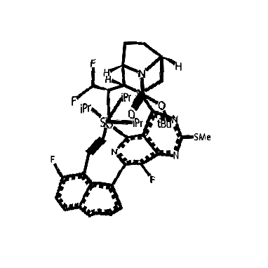 CSc1nc2c3c(nc(-c4cccc5ccc(F)c(C#C[Si](C(C)C)(C(C)C)C(C)C)c45)c(F)c3n1)O[C@@H](C(F)F)[C@@H]1[C@@H]3CC[C@H](CN21)N3C(=O)OC(C)(C)C